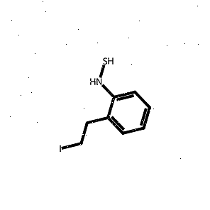 SNc1ccccc1CCI